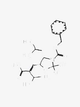 CC(C)C[C@H]1[C@H](/C=C(/C(=O)O)C(C)C)OC(C)(C)N1C(=O)OCc1ccccc1